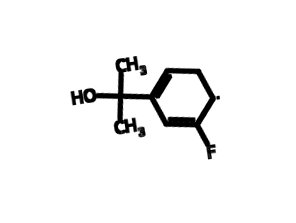 CC(C)(O)C1=CC[CH]C(F)=C1